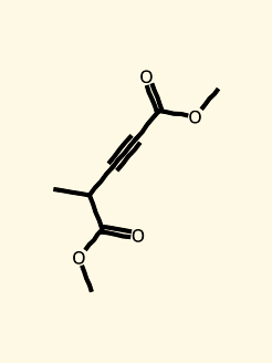 COC(=O)C#CC(C)C(=O)OC